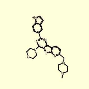 CN1CCN(Cc2ccc3c(n2)oc2c(N4CCOCC4)nc(-c4ccc5[nH]ccc5c4)nc23)CC1